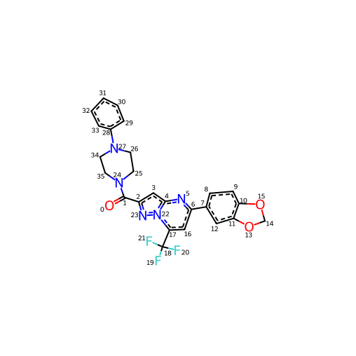 O=C(c1cc2nc(-c3ccc4c(c3)OCO4)cc(C(F)(F)F)n2n1)N1CCN(c2ccccc2)CC1